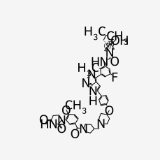 COc1ccc(C(=O)N2CCC(CN3CCC(Oc4ccc(-c5cc6c(-c7cc(F)cc(NC(=O)N8C[C@H](CC(C)C)[C@@H](O)C8)c7C)ncnc6[nH]5)cc4)CC3)CC2)cc1N1CCC(=O)NC1=O